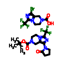 CC(C)(C)OC(=O)N1CCn2c(C(F)(F)F)nc(N3CCCC3=O)c2C1.O=C(O)N1CCn2c(C(F)(F)F)nc(Br)c2C1